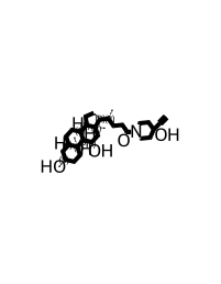 C#CC1(O)CCN(C(=O)CC[C@@H](C)[C@H]2CC[C@H]3[C@@H]4CC[C@H]5C[C@@H](O)CC[C@]5(C)[C@H]4[C@@H](O)C[C@]23C)CC1